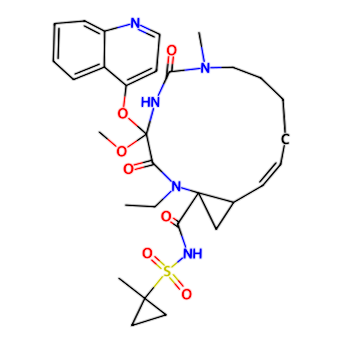 CCN1C(=O)C(OC)(Oc2ccnc3ccccc23)NC(=O)N(C)CCCCC=CC2CC21C(=O)NS(=O)(=O)C1(C)CC1